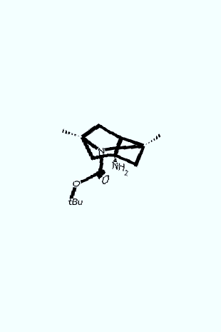 CC(C)(C)OC(=O)N1[C@]2(C)CC3[C@](N)(C2)C[C@]31C